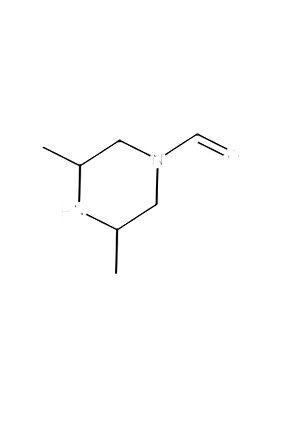 CC1CN(C=O)CC(C)N1